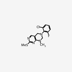 CSc1ncc2c(n1)N(C)CN(c1c(F)cccc1Cl)C2